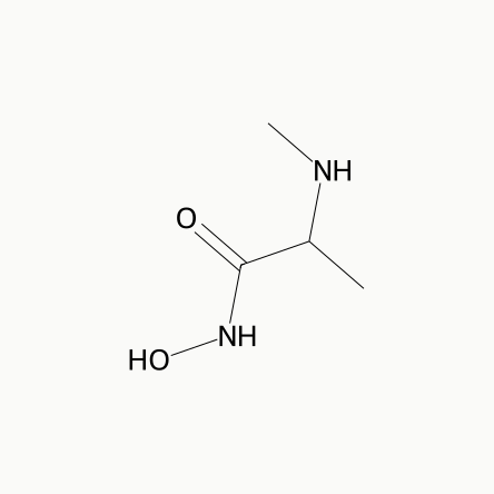 CNC(C)C(=O)NO